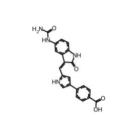 NC(=O)Nc1ccc2c(c1)C(=Cc1cc(-c3ccc(C(=O)O)cc3)c[nH]1)C(=O)N2